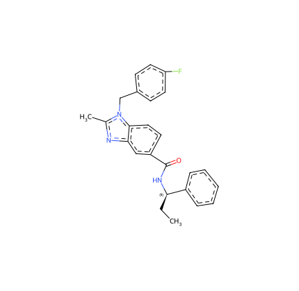 CC[C@@H](NC(=O)c1ccc2c(c1)nc(C)n2Cc1ccc(F)cc1)c1ccccc1